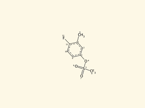 Cc1cc(OS(=O)(=O)C(F)(F)F)ccc1F